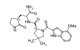 COc1cccc2[nH]c(C(=O)N3CC(C)(C)C[C@H]3C(=O)NC(C[C@@H]3CCNC3=O)C(N)=O)cc12